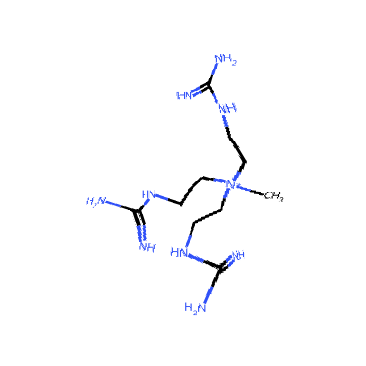 C[N+](CCNC(=N)N)(CCNC(=N)N)CCNC(=N)N